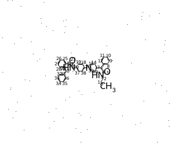 CCCNC(=O)C(c1ccccc1)C1CCN(c2ccc(NC(=O)c3ccccc3Cc3ccccc3)cc2)CC1